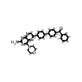 Nc1nc(N2CCOCC2)c2nc(-c3ccc(-c4ccc(C(=O)c5ccccc5)cc4)cc3)cnc2n1